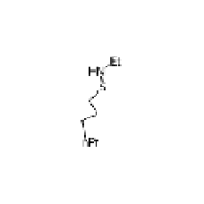 CCCCCCSNCC